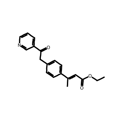 CCOC(=O)C=C(C)c1ccc(CC(=O)c2cccnc2)cc1